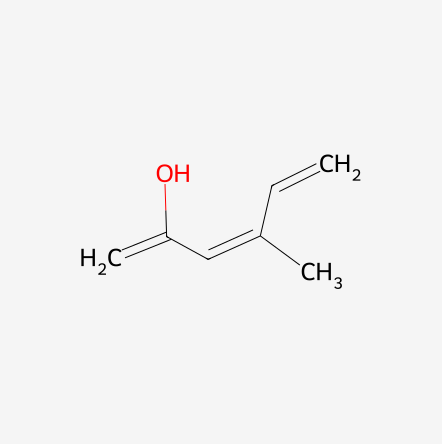 C=C/C(C)=C\C(=C)O